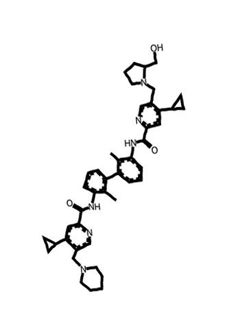 Cc1c(NC(=O)c2cc(C3CC3)c(CN3CCCCC3)cn2)cccc1-c1cccc(NC(=O)c2cc(C3CC3)c(CN3CCCC3CO)cn2)c1C